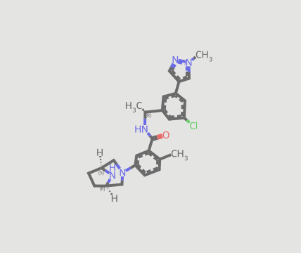 Cc1ccc(N2C[C@H]3CC[C@@H](C2)N3)cc1C(=O)N[C@H](C)c1cc(Cl)cc(-c2cnn(C)c2)c1